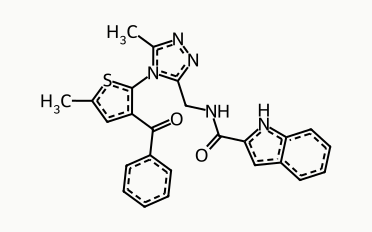 Cc1cc(C(=O)c2ccccc2)c(-n2c(C)nnc2CNC(=O)c2cc3ccccc3[nH]2)s1